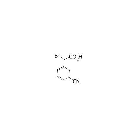 N#Cc1cccc(C(Br)C(=O)O)c1